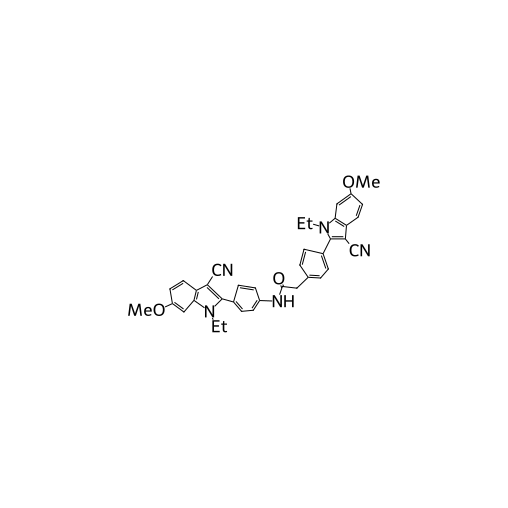 CCn1c(-c2ccc(CC(=O)Nc3ccc(-c4c(C#N)c5ccc(OC)cc5n4CC)cc3)cc2)c(C#N)c2ccc(OC)cc21